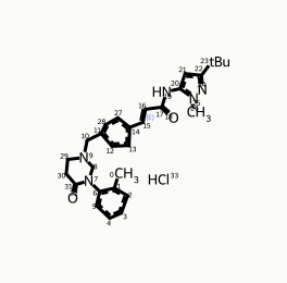 Cc1ccccc1N1CN(Cc2ccc(/C=C/C(=O)Nc3cc(C(C)(C)C)nn3C)cc2)CCC1=O.Cl